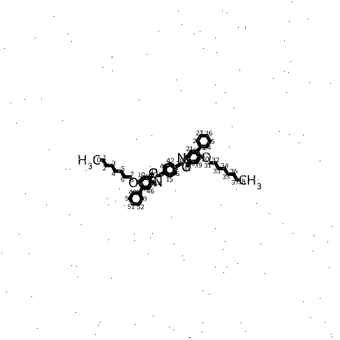 CCCCCCCCOc1cc2oc(-c3ccc(-c4nc5cc(C6CCCCC6)c(OCCCCCCCC)cc5o4)cc3)nc2cc1C1CCCCC1